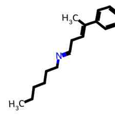 CCCCCCN=CCC=C(C)c1ccccc1